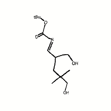 CC(C)(CO)CC(/C=N/C(=O)OC(C)(C)C)CO